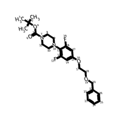 CC(C)(C)OC(=O)N1CCN(c2c(F)cc(OCCOCc3ccccc3)cc2F)CC1